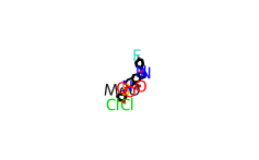 COC(=O)C12Cc3cnn(-c4ccc(F)cc4)c3C=C1CCN(S(=O)(=O)c1ccc(Cl)c(Cl)c1)C2